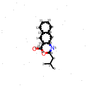 CC(C)Cc1nc2cc3ccccc3cc2c(=O)o1